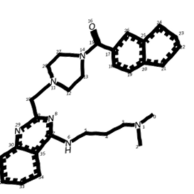 CN(C)CCCNc1nc(CN2CCN(C(=O)c3ccc4ccccc4c3)CC2)nc2ccccc12